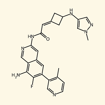 Cc1ccncc1-c1cc2cc(NC(=O)C=C3CC(Nc4cnn(C)c4)C3)ncc2c(N)c1F